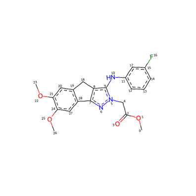 COC(=O)Cn1nc2c(c1Nc1cccc(F)c1)Cc1cc(OC)c(OC)cc1-2